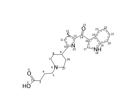 O=C(O)CCCN1CCC(c2csc(C(=O)c3c[nH]c4ccccc34)n2)CC1